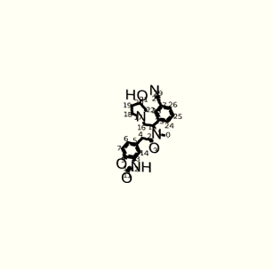 CN(C(=O)Cc1ccc2oc(=O)[nH]c2c1)C(CN1CC[C@H](O)C1)c1cccc(C#N)c1